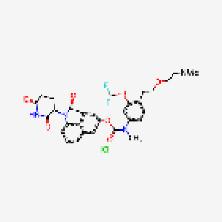 CNCCOCCc1ccc(N(C)C(=O)Oc2cc3c4c(cccc4c2)N(C2CCC(=O)NC2=O)C3=O)cc1OC(F)F.Cl